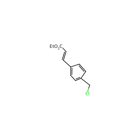 CCOC(=O)C=Cc1ccc(CCl)cc1